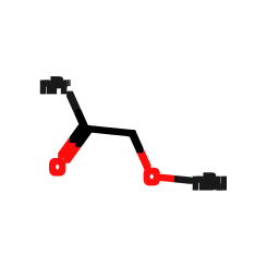 CCCCOCC(=O)CCC